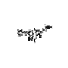 CC(=O)O.Cc1cn(CCCC(=O)O)c(=O)nc1N1CCC(CNc2ccccn2)CC1